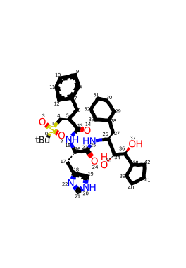 CC(C)(C)S(=O)(=O)C[C@@H](Cc1ccccc1)C(=O)N[C@@H](Cc1c[nH]cn1)C(=O)N[C@@H](CC1CCCCC1)[C@@H](O)[C@@H](O)C1CCCC1